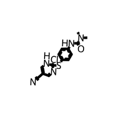 CN(C)C(=O)Nc1ccc(SC2(Cl)N=CC(C#N)=CN2)cc1